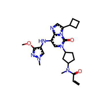 C=CC(=O)N(C)C1CCC(n2cc(Nc3cn(C)nc3OC)c3ncc(C4CCC4)n3c2=O)C1